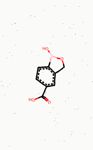 O=C(O)c1ccc2c(c1)COB2O